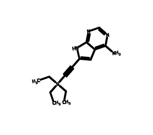 CC[Si](C#Cc1cc2c(N)ncnc2[nH]1)(CC)CC